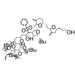 C=C1C[C@H](CCCO)OC1CC[C@H]1C[C@@H](C)C(=C)C(C[C@@H]2O[C@H](C[C@H](C)CC)[C@H](C)[C@H]2C(C(O)CC2CC[C@@H]3O[C@@](C)([C@H](/C=C/I)O[Si](C)(C)C(C)(C)C)[C@@H](O[Si](C)(C)C(C)(C)C)[C@@H](O[Si](C)(C)C(C)(C)C)[C@H]3O2)S(=O)(=O)c2ccccc2)O1